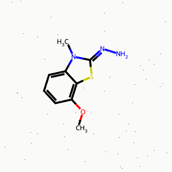 COc1cccc2c1sc(=NN)n2C